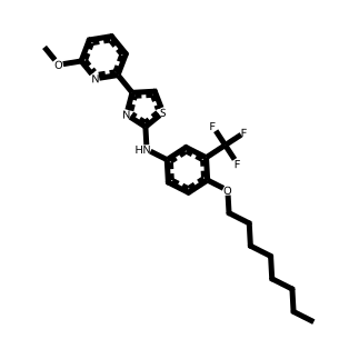 CCCCCCCCOc1ccc(Nc2nc(-c3cccc(OC)n3)cs2)cc1C(F)(F)F